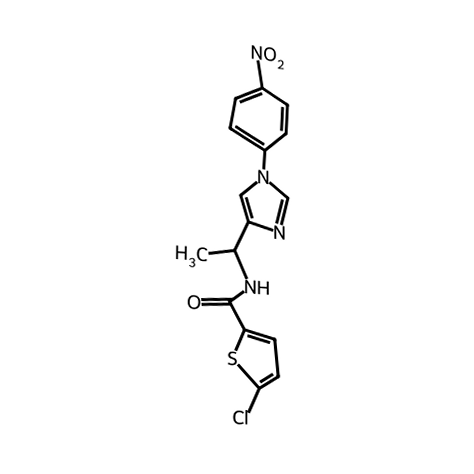 CC(NC(=O)c1ccc(Cl)s1)c1cn(-c2ccc([N+](=O)[O-])cc2)cn1